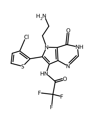 NCCn1c(-c2sccc2Cl)c(NC(=O)C(F)(F)F)c2nc[nH]c(=O)c21